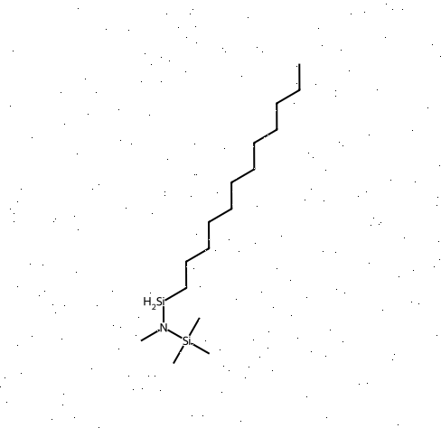 CCCCCCCCCCCC[SiH2]N(C)[Si](C)(C)C